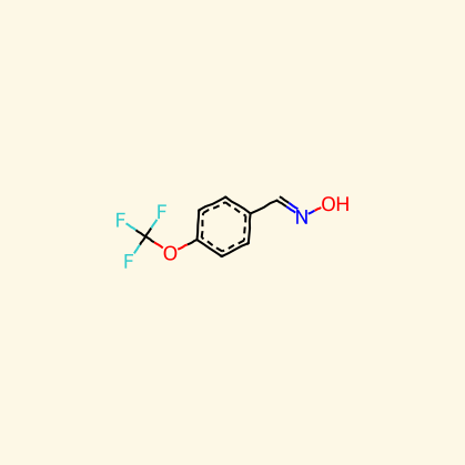 O/N=C/c1ccc(OC(F)(F)F)cc1